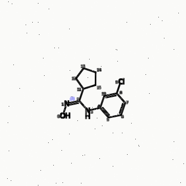 O/N=C(\Nc1cccc(Cl)c1)C1CCCC1